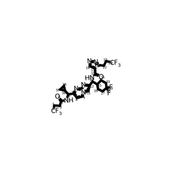 O=C(CCC(F)(F)F)NC(c1ccn2cc([C@@H](NC(=O)c3cnnn3CCC(F)(F)F)C3CCC(F)(F)CC3)nc2n1)C1CC1